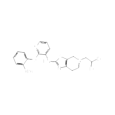 CCC(CC)CN1CCc2nc(Nc3cccnc3Oc3ccccc3C(C)(C)C)sc2C1